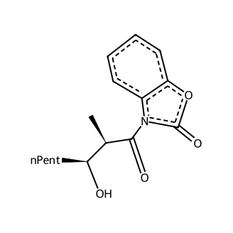 CCCCC[C@H](O)[C@@H](C)C(=O)n1c(=O)oc2ccccc21